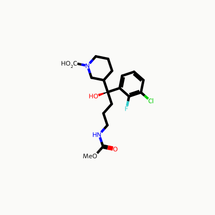 COC(=O)NCCC[C@@](O)(c1cccc(Cl)c1F)C1CCCN(C(=O)O)C1